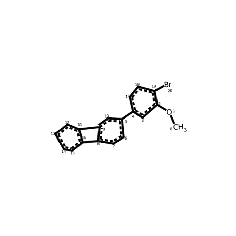 COc1cc(-c2ccc3c(c2)-c2ccccc2-3)ccc1Br